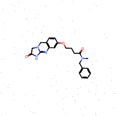 CN(Cc1ccccc1)C(=O)CCCOc1ccc2c(c1)N=C1NC(=O)CN1C2